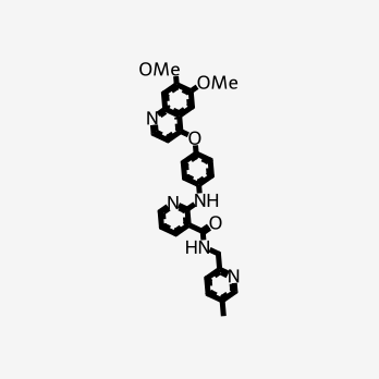 COc1cc2nccc(Oc3ccc(Nc4ncccc4C(=O)NCc4ccc(C)cn4)cc3)c2cc1OC